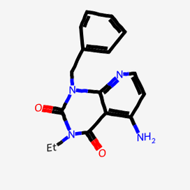 CCn1c(=O)c2c(N)ccnc2n(Cc2ccccc2)c1=O